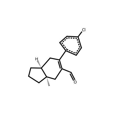 C[C@]12CCC[C@H]1CC(c1ccc(Cl)cc1)=C(C=O)C2